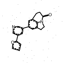 O=C1CCc2cc(-c3cncc(-c4ccco4)c3)cc3c2N1CC3